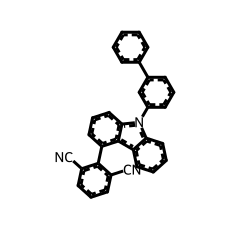 N#Cc1cccc(C#N)c1-c1cccc2c1c1ccccc1n2-c1cccc(-c2ccccc2)c1